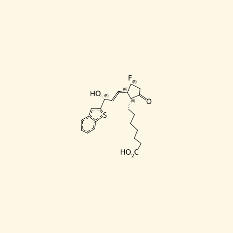 O=C(O)CCCCCC[C@H]1C(=O)C[C@@H](F)[C@@H]1C=C[C@@H](O)c1cc2ccccc2s1